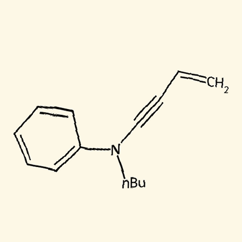 C=CC#CN(CCCC)c1ccccc1